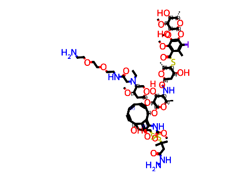 CCN(CC(=O)NCCOCCOCCN)[C@H]1CO[C@@H](O[C@H]2[C@H](O[C@H]3C#C/C=C\C#C[C@]4(O)CC(=O)C(NC(=O)OC)=C3/C4=C\CSSC(C)(C)CC(=O)NN)O[C@H](C)[C@@H](NO[C@H]3C[C@H](O)[C@H](SC(=O)c4c(C)c(I)c(O[C@@H]5O[C@@H](C)[C@H](O)[C@@H](OC)[C@H]5O)c(OC)c4OC)[C@@H](C)O3)[C@@H]2O)C[C@@H]1OC